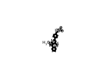 Cn1nc(-c2ccccc2)c2c(C(F)(F)F)cc(-c3ccc(CCN[SH](=O)=O)cc3)nc21